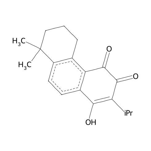 CC(C)C1=C(O)c2ccc3c(c2C(=O)C1=O)CCCC3(C)C